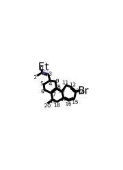 CC/C(C)=C/C1CCC2=C(C1)C1CC=C(Br)C=C=C1CC2C